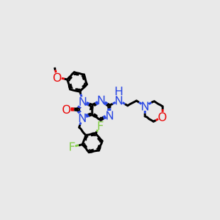 COc1cccc(-n2c(=O)n(Cc3c(F)cccc3F)c3cnc(NCCN4CCOCC4)nc32)c1